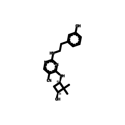 CC1(C)[C@@H](O)C[C@H]1Nc1nc(NCCc2cccc(O)c2)ncc1C#N